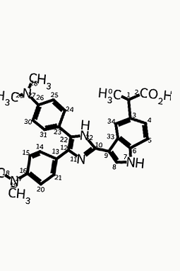 CC(C(=O)O)c1ccc2[nH]cc(-c3nc(-c4ccc(N(C)C)cc4)c(-c4ccc(N(C)C)cc4)[nH]3)c2c1